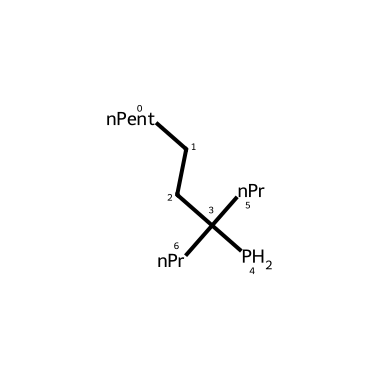 CCCCCCCC(P)(CCC)CCC